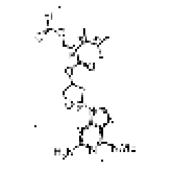 CCC(=O)OC[C@H](C(=O)OC1CO[C@@H](n2cnc3c(NC)nc(N)nc32)C1)[C@@H](C)[C@@H](C)F